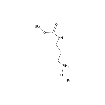 CC(C)O[SiH2]CCCNC(=O)OC(C)(C)C